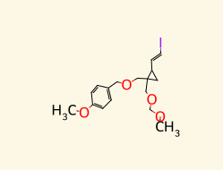 COCOCC1(COCc2ccc(OC)cc2)CC1C=CI